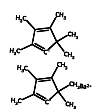 CC1=[C-]C(C)(C)C(C)=C1C.CC1=[C-]C(C)(C)C(C)=C1C.[Ba+2]